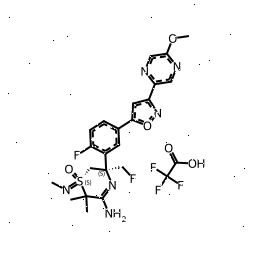 CN=[S@]1(=O)C[C@@](CF)(c2cc(-c3cc(-c4cnc(OC)cn4)no3)ccc2F)N=C(N)C1(C)C.O=C(O)C(F)(F)F